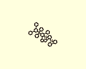 C1=CC23CC=Cc4c2n(c2cccc(-n5c6ccccc6c6ccccc65)c42)-c2c(cc(S(c4ccccc4)(c4ccccc4)c4cc(-c5ccccc5)cc(-c5ccccc5)c4)cc2-c2ccccc2)C3=C1